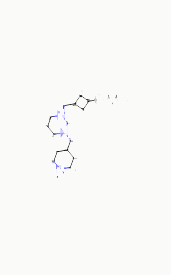 COC1CC(CN2CCCN(CC3CCN(C)CC3)C2)C1